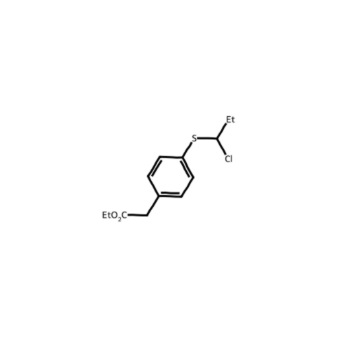 CCOC(=O)Cc1ccc(SC(Cl)CC)cc1